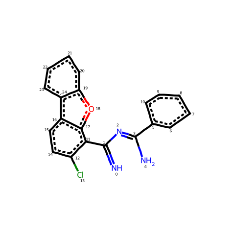 N=C(/N=C(\N)c1ccccc1)c1c(Cl)ccc2c1oc1ccccc12